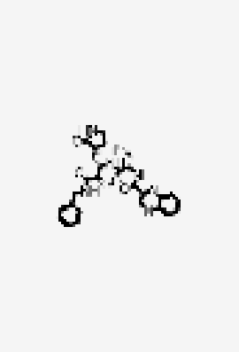 CC(C)C[C@H](NC(=O)c1cnc2ccccc2n1)C(=O)N[C@@H](C[C@@H]1CCNC1=O)C(=O)C(=O)NCc1ccccc1